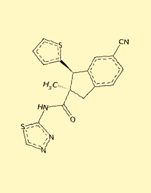 C[C@@]1(C(=O)Nc2nncs2)Cc2ccc(C#N)cc2[C@@H]1c1cccs1